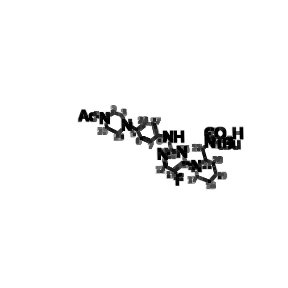 CC(=O)N1CCN(c2ccc(Nc3ncc(F)c(N4CCCCC4CN(C(=O)O)C(C)(C)C)n3)cc2)CC1